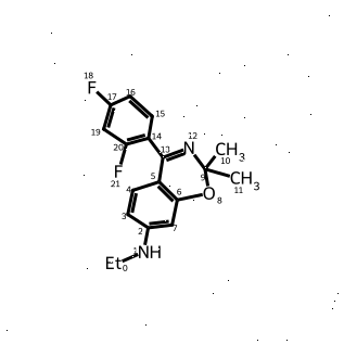 CCNc1ccc2c(c1)OC(C)(C)N=C2c1ccc(F)cc1F